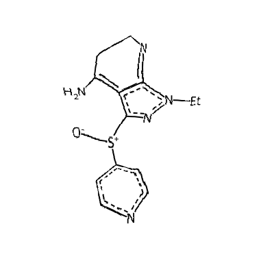 CCn1nc([S+]([O-])c2ccncc2)c2c1=NCCC=2N